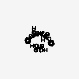 CC(NCC(O)COc1ccccc1)NC(=O)COc1ccccc1.O=C(O)C(=O)O